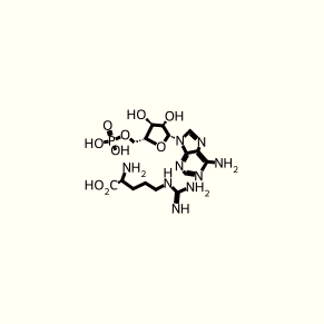 N=C(N)NCCC[C@H](N)C(=O)O.Nc1ncnc2c1ncn2[C@@H]1O[C@H](COP(=O)(O)O)[C@@H](O)[C@H]1O